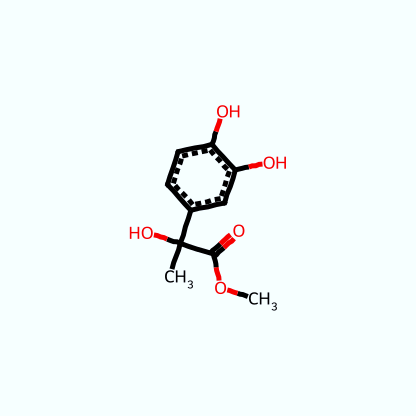 COC(=O)C(C)(O)c1ccc(O)c(O)c1